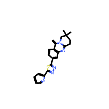 C=C1c2ccc(-c3nnc(-c4ccccn4)s3)cc2N=C2CCC(C)(C)CN12